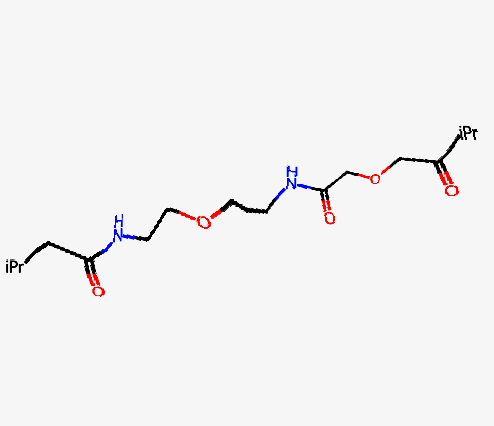 CC(C)CC(=O)NCCOCCNC(=O)COCC(=O)C(C)C